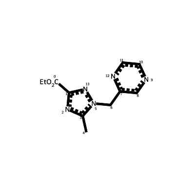 CCOC(=O)c1nc(C)n(Cc2cnccn2)n1